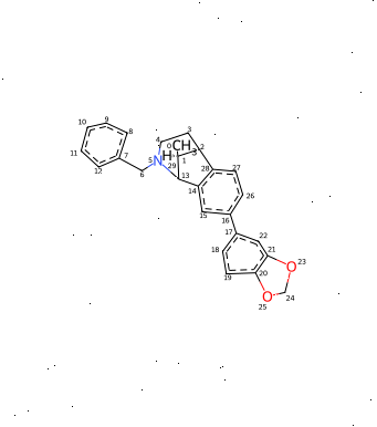 C[C@H]1C2CCN(Cc3ccccc3)C1c1cc(-c3ccc4c(c3)OCO4)ccc12